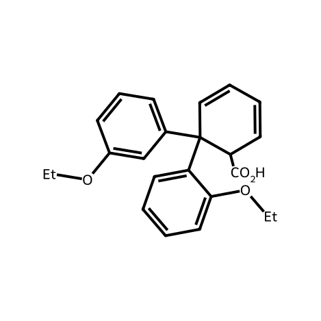 CCOc1cccc(C2(c3ccccc3OCC)C=CC=CC2C(=O)O)c1